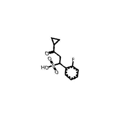 O=C(CC(c1ccccc1F)S(=O)(=O)O)C1CC1